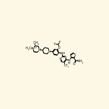 C[C@H]1CN(C2CCN(c3ccc(Nc4ncc(C(F)(F)F)c(Nc5ccsc5C(N)=O)n4)c(OC(F)F)c3)CC2)CCN1C